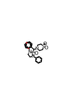 O=P1(C(c2ccccc2)N2CCS(=O)(=O)CC2)N(c2ccccc2)CCN1c1ccccc1